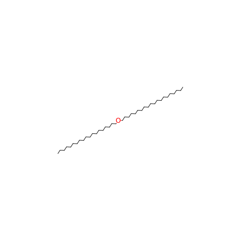 CCCCCCCCCCCCCCCCCCCCOCCCCCCCCCCCCCCCCCCC